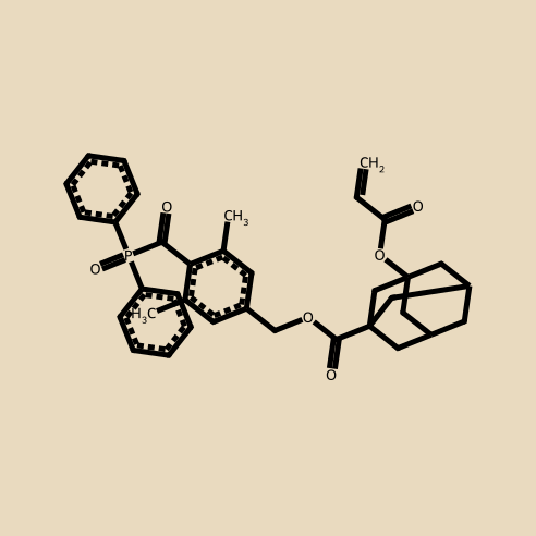 C=CC(=O)OC12CC3CC(C1)CC(C(=O)OCc1cc(C)c(C(=O)P(=O)(c4ccccc4)c4ccccc4)c(C)c1)(C3)C2